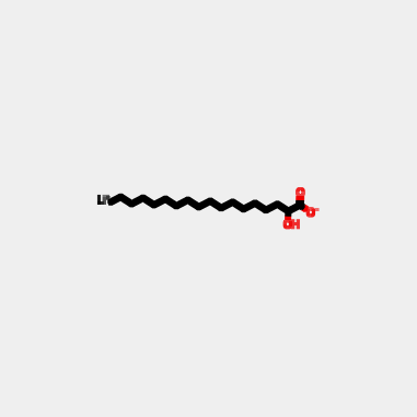 CCCCCCCCCCCCCCCCC(O)C(=O)[O-].[Li+]